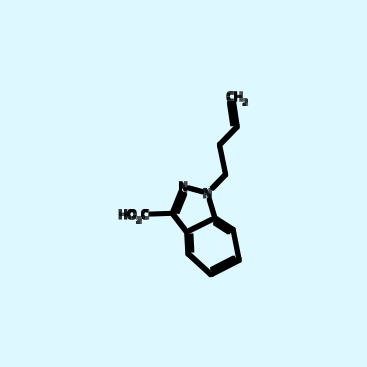 C=CCCn1nc(C(=O)O)c2ccccc21